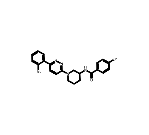 CCc1ccccc1-c1ccc(N2CCCC(NC(=O)c3ccc(Br)cc3)C2)nn1